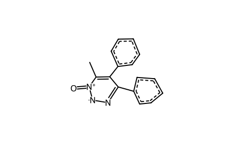 CC1=C(c2ccccc2)C(c2ccccc2)=N[N][N+]1=O